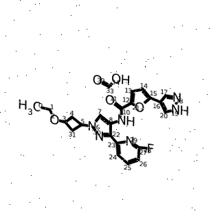 CCOC1CC(n2cc(NC(=O)c3ccc(-c4cn[nH]c4)o3)c(-c3cccc(F)n3)n2)C1.O=CO